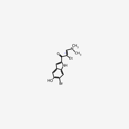 CC/C(=C\N(C)C)C(=O)c1cc2cc(O)c(Br)cc2[nH]1